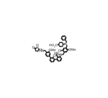 COc1cc(-c2cccc(-c3cccc(NCc4cc(OC)c(CN(Cc5ccccc5)C5CCC(C(=O)O)CC5)cc4Cl)c3C=N)c2Cl)ccc1CNC[C@@H]1CCC(=O)N1